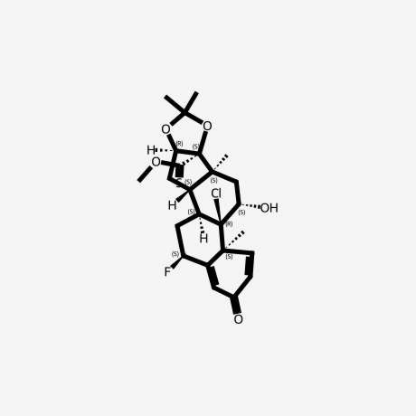 COC(=S)[C@@]12OC(C)(C)O[C@@H]1C[C@H]1[C@@H]3C[C@H](F)C4=CC(=O)C=C[C@]4(C)[C@@]3(Cl)[C@@H](O)C[C@@]12C